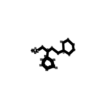 [CH2]CC(CCC1CCCCC1)c1cccnc1